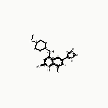 CO[C@H]1CC[C@@H](Nc2cc(=O)[nH]c3c(C)cc(-c4cncs4)cc23)CC1